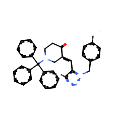 CCOC(=O)c1nnn(Cc2ccc(OC)cc2)c1/C=C1\CN(C(c2ccccc2)(c2ccccc2)c2ccccc2)CCC1=O